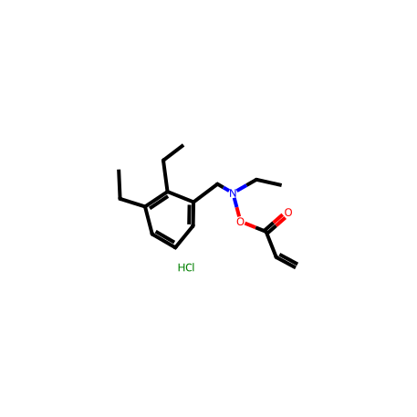 C=CC(=O)ON(CC)Cc1cccc(CC)c1CC.Cl